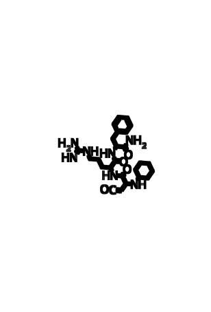 N=C(N)NCCCC(NC(=O)C(C=C=O)NC1CCCCC1)C(=O)NC(Cc1ccccc1)C(N)=O